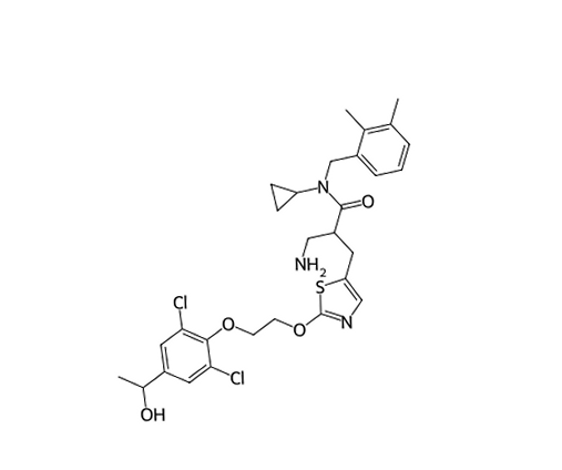 Cc1cccc(CN(C(=O)C(CN)Cc2cnc(OCCOc3c(Cl)cc(C(C)O)cc3Cl)s2)C2CC2)c1C